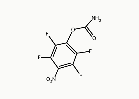 NC(=O)Oc1c(F)c(F)c([N+](=O)[O-])c(F)c1F